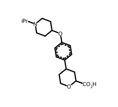 CC(C)N1CCC(Oc2ccc(C3CCOC(C(=O)O)C3)cc2)CC1